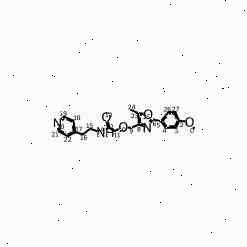 COc1ccc(-c2nc(COCC(=O)NCCc3ccncc3)c(C)o2)cc1